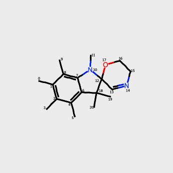 Cc1c(C)c(C)c2c(c1C)N(C)C1(C=NCCO1)C2(C)C